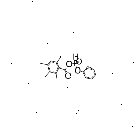 Cc1cc(C)c(C(=O)O[PH](=O)Oc2ccccc2)c(C)c1C